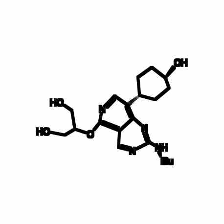 CC[C@H](C)Nc1ncc2c(OC(CO)CO)ncc([C@H]3CC[C@H](O)CC3)c2n1